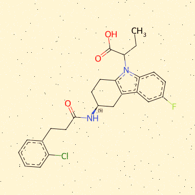 CCC(C(=O)O)n1c2c(c3cc(F)ccc31)C[C@@H](NC(=O)CCc1ccccc1Cl)CC2